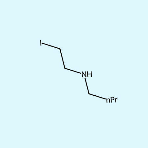 CCCCNCCI